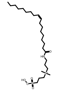 CCCCCCCC/C=C\CCCCCCCC(=O)NCCC[N+](C)(C)CCCS(=O)(=O)OO